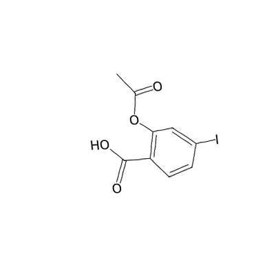 CC(=O)Oc1cc(I)ccc1C(=O)O